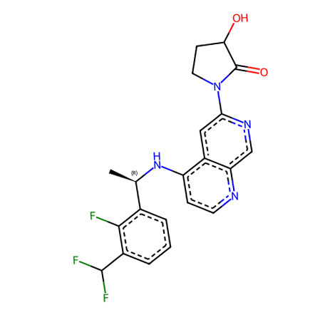 C[C@@H](Nc1ccnc2cnc(N3CCC(O)C3=O)cc12)c1cccc(C(F)F)c1F